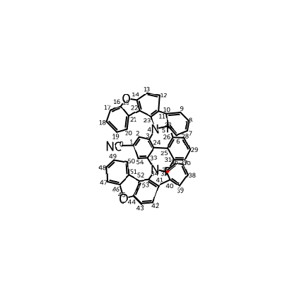 N#Cc1cc(-n2c3ccccc3c3ccc4oc5ccccc5c4c32)c(-c2c(F)cccc2F)c(-n2c3ccccc3c3ccc4oc5ccccc5c4c32)c1